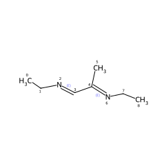 CC/N=C/C(C)=N/CC